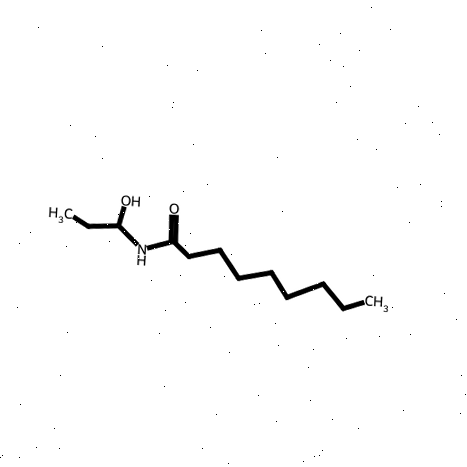 CCCCCCCCC(=O)NC(O)CC